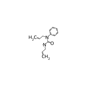 C=CC[N]C(=O)N(CC=C)c1ccccc1